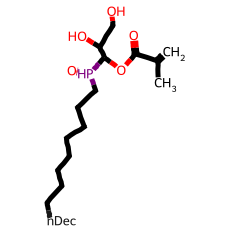 C=C(C)C(=O)OC(C(O)CO)[PH](=O)CCCCCCCCCCCCCCCCCC